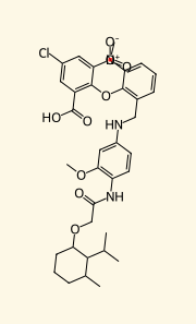 COc1cc(NCc2cccc(OC)c2Oc2c(C(=O)O)cc(Cl)cc2[N+](=O)[O-])ccc1NC(=O)COC1CCCC(C)C1C(C)C